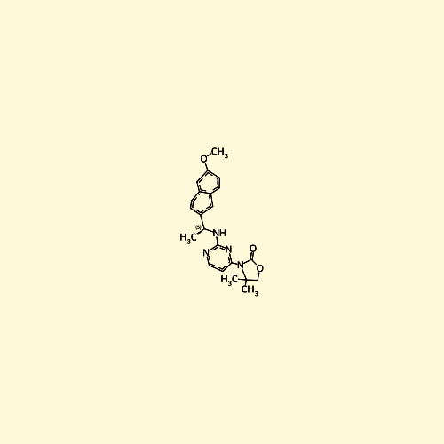 COc1ccc2cc([C@H](C)Nc3nccc(N4C(=O)OCC4(C)C)n3)ccc2c1